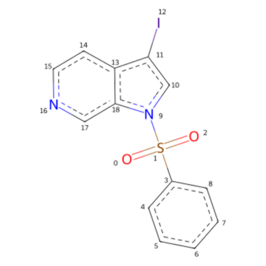 O=S(=O)(c1ccccc1)n1cc(I)c2ccncc21